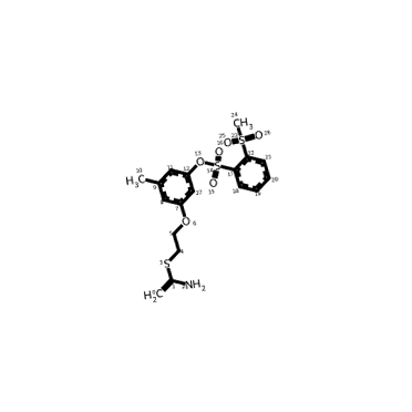 C=C(N)SCCOc1cc(C)cc(OS(=O)(=O)c2ccccc2S(C)(=O)=O)c1